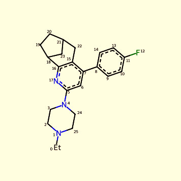 CCN1CCN(c2cc(-c3ccc(F)cc3)c3c(n2)C2CCC(C3)C2)CC1